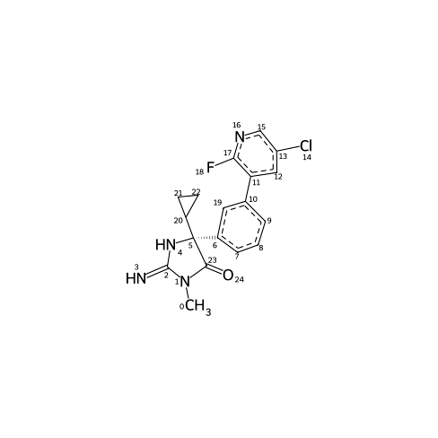 CN1C(=N)N[C@@](c2cccc(-c3cc(Cl)cnc3F)c2)(C2CC2)C1=O